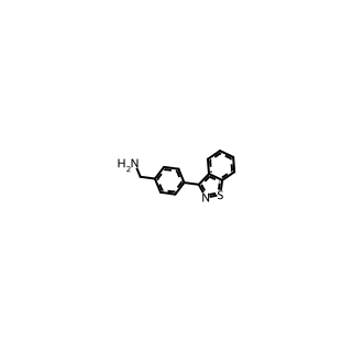 NCc1ccc(-c2nsc3ccccc23)cc1